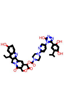 CCc1c2c(nc3ccc(O)cc13)-c1cc3c(c(=O)n1C2)COC(=O)C3OC(=O)N1CCN(c2ccc(-n3c(O)nnc3-c3cc(C(C)C)c(O)cc3O)cn2)CC1